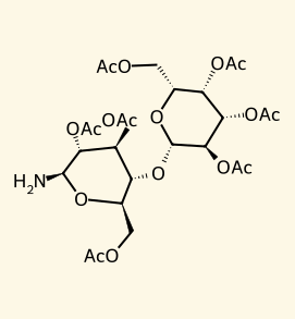 CC(=O)OC[C@H]1O[C@@H](O[C@H]2[C@H](OC(C)=O)[C@@H](OC(C)=O)[C@H](N)O[C@@H]2COC(C)=O)[C@H](OC(C)=O)[C@@H](OC(C)=O)[C@H]1OC(C)=O